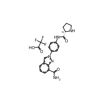 NC(=O)c1cccc2cn(-c3ccc(NC(=O)[C@@H]4CCCN4)cc3)nc12.O=C(O)C(F)(F)F